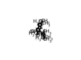 CC1=[C]([Zr+2][c]2c(C(C)(C)C)ccc3c2Cc2cc(C(C)(C)C)ccc2-3)CC(C(C)(C)C)=C1.[Cl-].[Cl-]